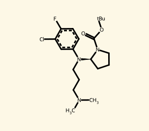 CN(C)CCCN(c1ccc(F)c(Cl)c1)[C@@H]1CCCN1C(=O)OC(C)(C)C